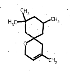 CC1=CCOC2(C1)CC(C)CC(C)(C)C2